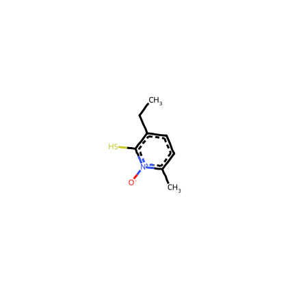 CCc1ccc(C)[n+]([O-])c1S